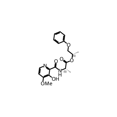 COc1ccnc(C(=O)N[C@@H](C)C(=O)O[C@@H](C)COc2ccccc2)c1O